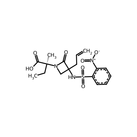 C=CCC1(NS(=O)(=O)c2ccccc2[N+](=O)[O-])CN([C@@](C)(CC)C(=O)O)C1=O